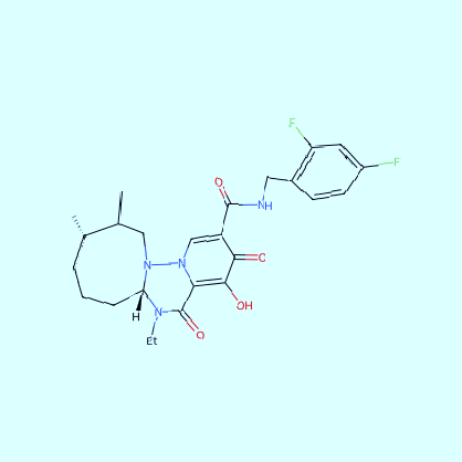 CCN1C(=O)c2c(O)c(=O)c(C(=O)NCc3ccc(F)cc3F)cn2N2CC(C)[C@@H](C)CCC[C@@H]12